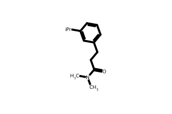 CC(C)c1cccc(CCC(=O)N(C)C)c1